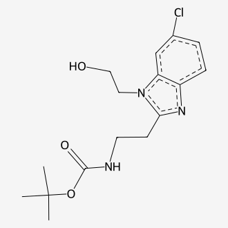 CC(C)(C)OC(=O)NCCc1nc2ccc(Cl)cc2n1CCO